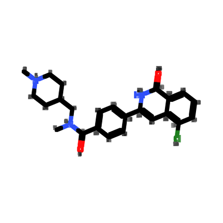 CN1CCC(CN(C)C(=O)c2ccc(-c3cc4c(Cl)cccc4c(=O)[nH]3)cc2)CC1